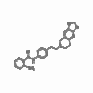 Nc1ccccc1C(=O)Nc1ccc(CCN2CCc3cc4c(cc3C2)OCO4)cc1